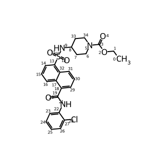 CCOC(=O)N1CCC(NS(=O)(=O)c2cccc3c(C(=O)Nc4ccccc4Cl)cccc23)CC1